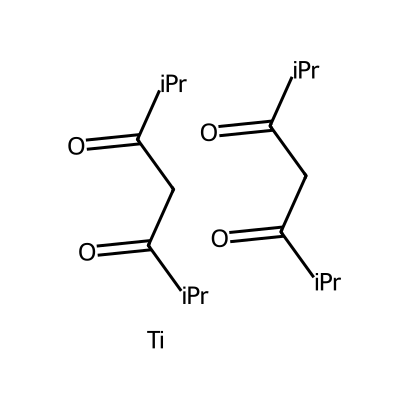 CC(C)C(=O)CC(=O)C(C)C.CC(C)C(=O)CC(=O)C(C)C.[Ti]